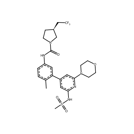 Cc1ccc(NC(=O)N2CC[C@@H](CC(F)(F)F)C2)cc1-c1cc(NS(C)(=O)=O)nc(N2CCOCC2)c1